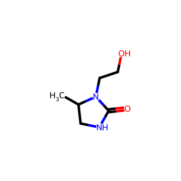 CC1CNC(=O)N1CCO